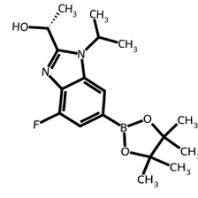 CC(C)n1c([C@@H](C)O)nc2c(F)cc(B3OC(C)(C)C(C)(C)O3)cc21